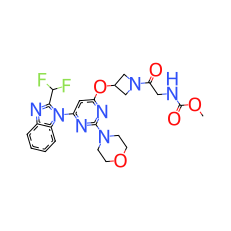 COC(=O)NCC(=O)N1CC(Oc2cc(-n3c(C(F)F)nc4ccccc43)nc(N3CCOCC3)n2)C1